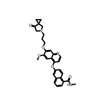 CNC(=O)c1cccc2cc(Oc3ccnc4cc(OCCCN5CC(=O)C6(CC6)C5)c(OC)cc34)ccc12